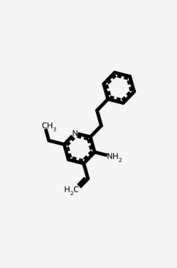 C=Cc1cc(CC)nc(CCc2ccccc2)c1N